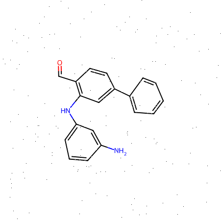 Nc1cccc(Nc2cc(-c3ccccc3)ccc2C=O)c1